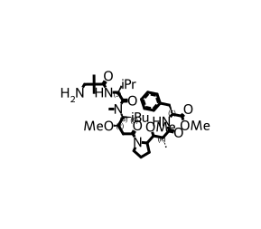 CC[C@H](C)[C@@H]([C@@H](CC(=O)N1CCCC1C(OC)[C@@H](C)C(=O)N[C@@H](Cc1ccccc1)C(=O)OC)OC)N(C)C(=O)[C@@H](NC(=O)C(C)(C)CN)C(C)C